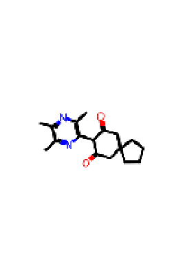 Cc1nc(C)c(C2C(=O)CC3(CCCC3)CC2=O)nc1C